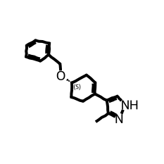 Cc1n[nH]cc1C1=CC[C@@H](OCc2ccccc2)CC1